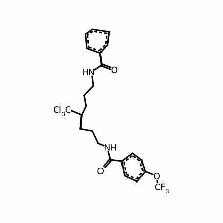 O=C(NCCCC(CCCNC(=O)c1ccc(OC(F)(F)F)cc1)C(Cl)(Cl)Cl)c1ccccc1